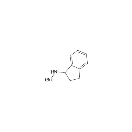 CC(C)(C)NC1CCc2ccccc21